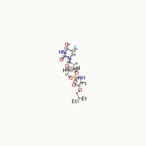 CCC(CC)COC(=O)[C@H](C)NP1(=O)OC[C@H]2O[C@@H](n3cc(F)c(=O)[nH]c3=O)C[C@@H]2O1